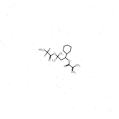 C=C(C)C(=O)OC(CC(OC(=O)C(F)(F)S(=O)(=O)O)(C(F)(F)F)C(F)(F)F)C1CCCCC1